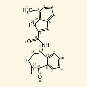 Cc1cccc2cc(C(=O)NC3CCNC(=O)c4ccccc43)[nH]c12